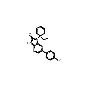 CC[C@@]1(n2c(=O)[nH]c3ncc(-c4ccc(Br)cc4)nc32)C=CC=CC1